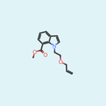 C=CCOCCn1ccc2cccc(C(=O)OC)c21